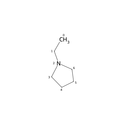 CCN1CCCC1